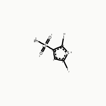 CC(C)S(=O)(=O)c1cc(I)sc1I